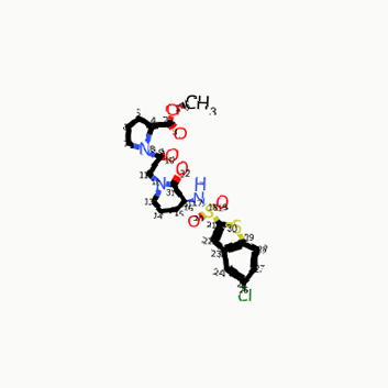 COC(=O)C1CCCN1C(=O)CN1CCC[C@H](NS(=O)(=O)c2cc3cc(Cl)ccc3s2)C1=O